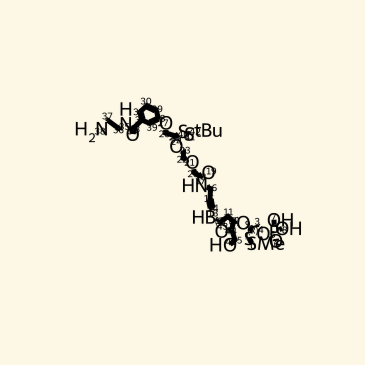 CSS[C@H](COP(=O)(O)O)O[C@@H]1C[C@H](BC#CCNC(=O)COCCOC(COc2cccc(C(=O)NCCN)c2)SSC(C)(C)C)OC1CO